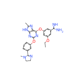 CCOc1cc(Oc2nc(Oc3cccc(C4=NCCN4C)c3)nc3[nH]c(C)nc23)cc(C(=N)N)c1